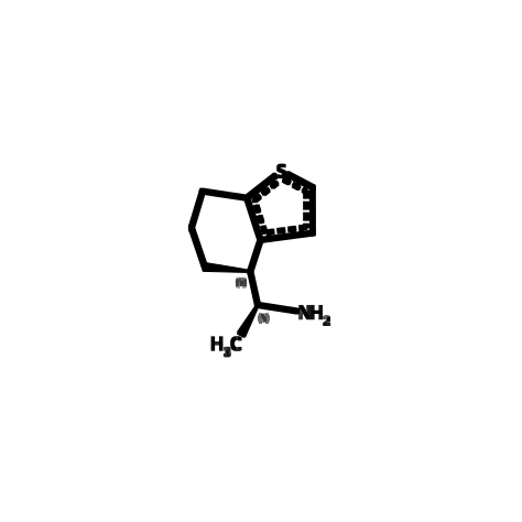 C[C@H](N)[C@H]1CCCc2sccc21